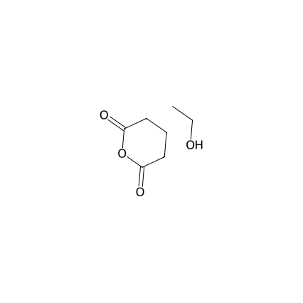 CCO.O=C1CCCC(=O)O1